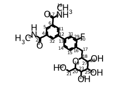 CNC(=O)c1cc(C(=O)NC)cc(-c2ccc(CC3OC(CO)C(O)C(O)C3O)c(F)c2)c1